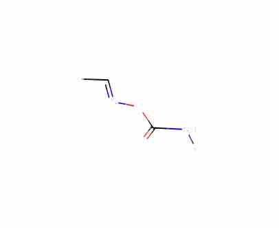 CCC(C)C=NOC(=O)NC(C)(C)C